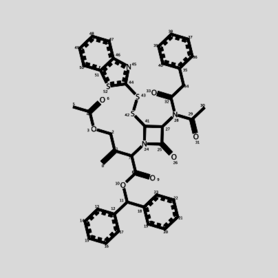 C=C(COC(C)=O)C(C(=O)OC(c1ccccc1)c1ccccc1)N1C(=O)C(N(C(C)=O)C(=O)Cc2ccccc2)C1SSc1nc2ccccc2s1